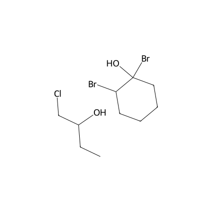 CCC(O)CCl.OC1(Br)CCCCC1Br